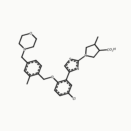 Cc1cc(CN2CCOCC2)ccc1COc1ccc(Cl)cc1-c1csc(N2CC(C)C(C(=O)O)C2)n1